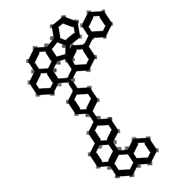 c1ccc(-c2ccc(N(c3ccc(-c4ccc5c(ccc6ccc7ccccc7c65)c4)cc3)c3cccc4ccc5c6ccccc6oc5c34)cc2)cc1